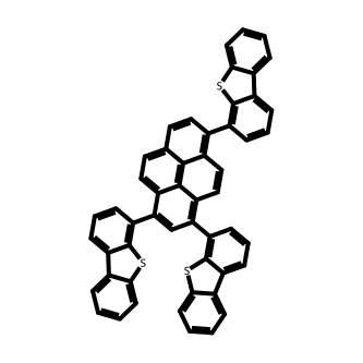 c1ccc2c(c1)sc1c(-c3ccc4ccc5c(-c6cccc7c6sc6ccccc67)cc(-c6cccc7c6sc6ccccc67)c6ccc3c4c56)cccc12